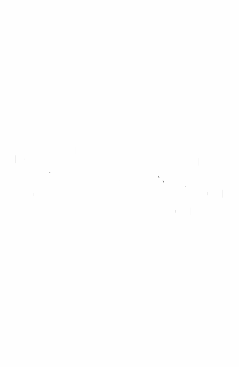 CC(C)(C)CC1CC2CN(C(C)(C)C)CC21